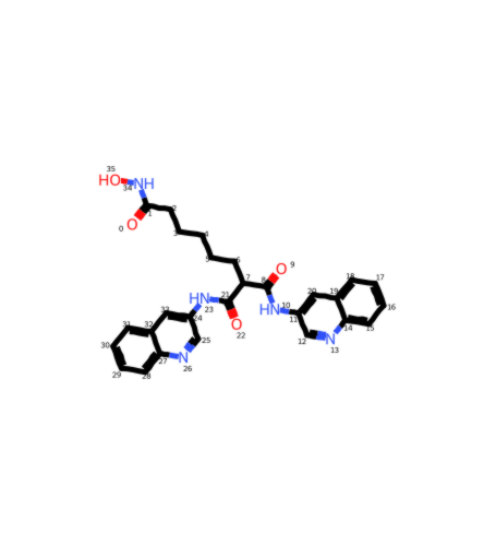 O=C(CCCCCC(C(=O)Nc1cnc2ccccc2c1)C(=O)Nc1cnc2ccccc2c1)NO